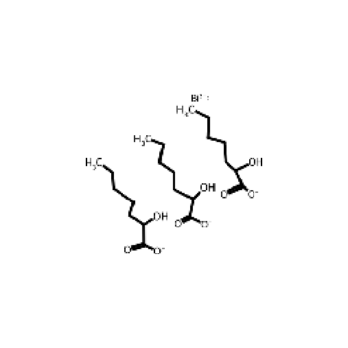 CCCCCC(O)C(=O)[O-].CCCCCC(O)C(=O)[O-].CCCCCC(O)C(=O)[O-].[Bi+3]